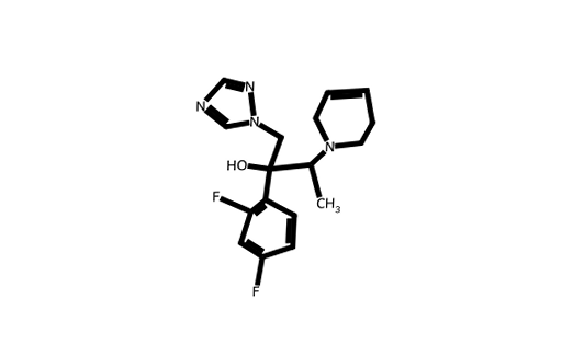 CC(N1CC=CCC1)C(O)(Cn1cncn1)c1ccc(F)cc1F